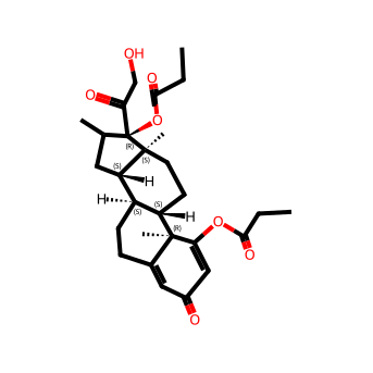 CCC(=O)OC1=CC(=O)C=C2CC[C@@H]3[C@H](CC[C@@]4(C)[C@H]3CC(C)[C@]4(OC(=O)CC)C(=O)CO)[C@]21C